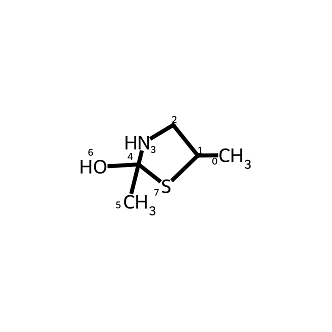 CC1CNC(C)(O)S1